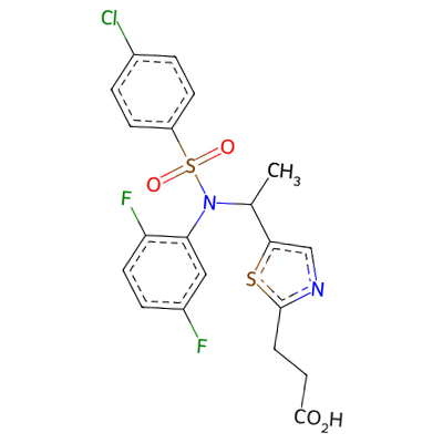 CC(c1cnc(CCC(=O)O)s1)N(c1cc(F)ccc1F)S(=O)(=O)c1ccc(Cl)cc1